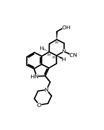 N#CN1C[C@H](CO)C[C@@H]2c3cccc4[nH]c(CN5CCOCC5)c(c34)C[C@H]21